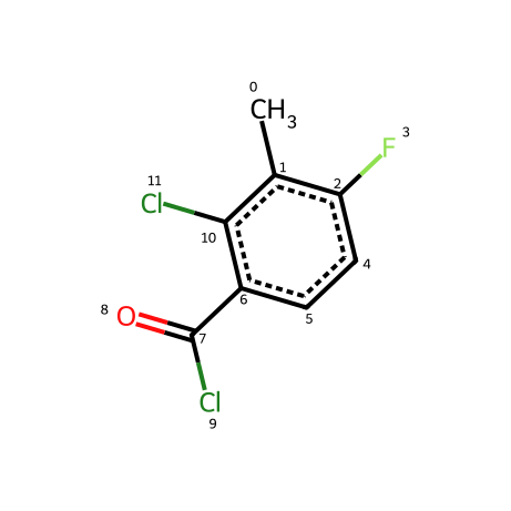 Cc1c(F)ccc(C(=O)Cl)c1Cl